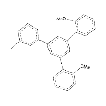 COc1ccccc1-c1cc(-c2cccc(C)c2)cc(-c2ccccc2OC)c1